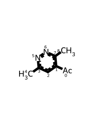 CC(=O)c1cc(C)nnc1C